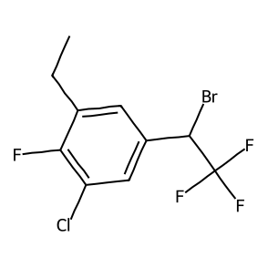 CCc1cc(C(Br)C(F)(F)F)cc(Cl)c1F